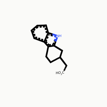 O=C(O)CC1CCc2c([nH]c3ccccc23)C1